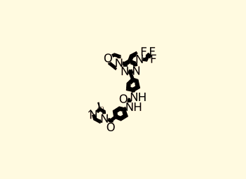 C[C@H]1CN(C(=O)c2ccc(NC(=O)Nc3ccc(-c4nc(N5CCOCC5)c5ccn(CC(F)(F)F)c5n4)cc3)cc2)CCN1C